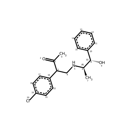 CC(=O)C(CN[C@H](C)[C@@H](O)c1ccccc1)c1ccc(Cl)cc1